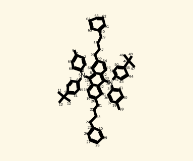 Cc1ccc(N(c2ccc(C(C)(C)C)cc2)c2c3ccc(CCCCc4ccccc4)cc3c(N(c3ccc(C)cc3)c3ccc(C(C)(C)C)cc3)c3ccc(CCCCc4ccccc4)cc23)cc1